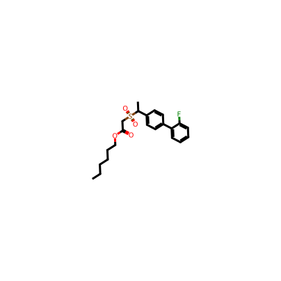 CCCCCCOC(=O)CS(=O)(=O)C(C)c1ccc(-c2ccccc2F)cc1